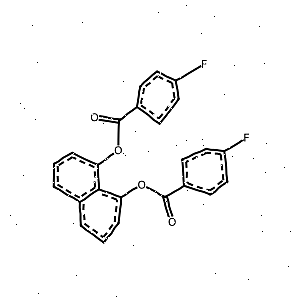 O=C(Oc1cccc2cccc(OC(=O)c3ccc(F)cc3)c12)c1ccc(F)cc1